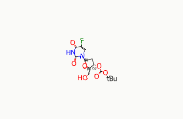 CC(C)(C)OC(=O)O[C@H]1C[C@H](n2cc(F)c(=O)[nH]c2=O)O[C@@H]1CO